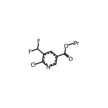 CC(C)OC(=O)c1cnc(Cl)c(C(F)F)c1